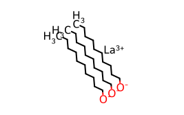 CCCCCCCCCC[O-].CCCCCCCCCC[O-].CCCCCCCCCC[O-].[La+3]